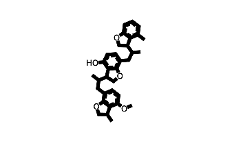 COc1ccc(CC(C)C2COc3c(CC(C)C4COc5cccc(C)c54)ccc(O)c32)c2c1C(C)CO2